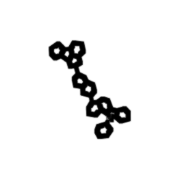 c1ccc(-n2c3ccccc3c3ccc4c(-c5ccc6cc(-c7cc8c9c(cccc9c7)-c7ccccc7-8)ccc6c5)cccc4c32)cc1